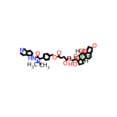 CN(C)[C@@H](C(=O)Nc1ccc2cnccc2c1)c1ccc(COC(=O)CCC(=O)OCC(=O)[C@@]2(O)CC[C@H]3[C@@H]4CCC5=CC(=O)C=C[C@]5(C)[C@@]4(F)[C@@H](O)C[C@@]32C)cc1